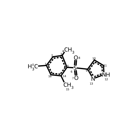 Cc1cc(C)c(S(=O)(=O)c2cc[nH]n2)c(C)c1